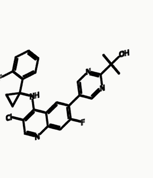 CC(C)(O)c1ncc(-c2cc3c(NC4(c5ccccc5F)CC4)c(Cl)cnc3cc2F)cn1